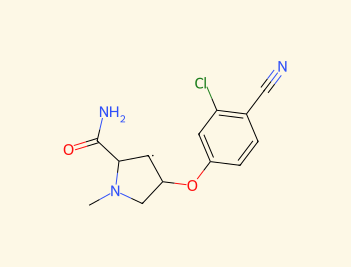 CN1CC(Oc2ccc(C#N)c(Cl)c2)[CH]C1C(N)=O